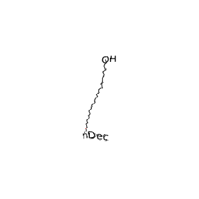 CCCCCCCCCCCCCCCCCCCCCCCCCCCCCCCCCCCCCCO